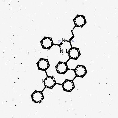 N/C(=N\C(=C/Cc1ccccc1)c1cccc(-c2ccccc2-c2ccccc2-c2cccc(-c3cc(-c4ccccc4)nc(-c4ccccc4)n3)c2)c1)c1ccccc1